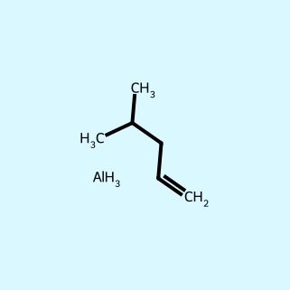 C=CCC(C)C.[AlH3]